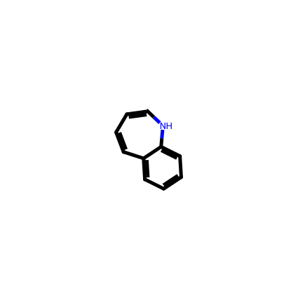 [C]1=CC=Cc2ccccc2N1